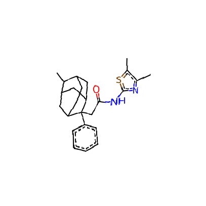 Cc1nc(NC(=O)CC2(c3ccccc3)C3CC4CC2CC(C3)C4C)sc1C